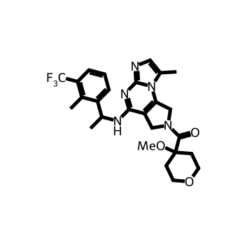 COC1(C(=O)N2Cc3c(NC(C)c4cccc(C(F)(F)F)c4C)nc4ncc(C)n4c3C2)CCOCC1